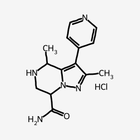 Cc1nn2c(c1-c1ccncc1)C(C)NCC2C(N)=O.Cl